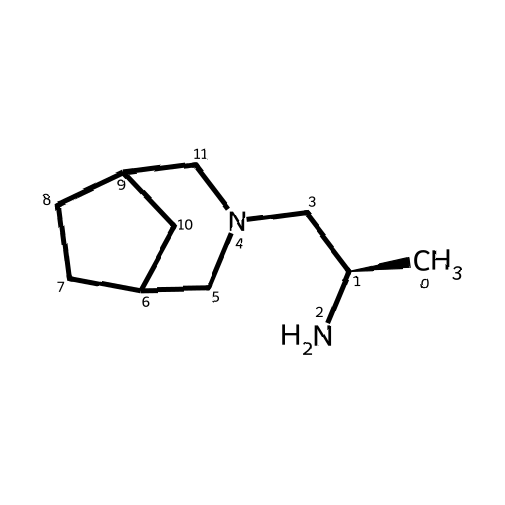 C[C@@H](N)CN1CC2CCC(C2)C1